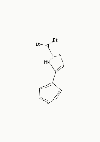 CCN(CC)C1NC(c2ccccc2)=CS1